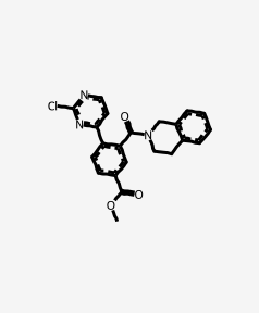 COC(=O)c1ccc(-c2ccnc(Cl)n2)c(C(=O)N2CCc3ccccc3C2)c1